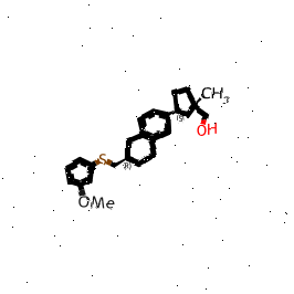 COc1cccc(SC[C@@H]2CCc3cc([C@H]4CC[C@](C)(CO)C4)ccc3C2)c1